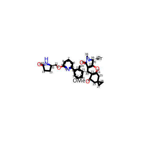 COc1ccc(-c2cccc(OC[C@H]3CCC(=O)N3)n2)c(C)c1[C@H]1C2=C(CC3(CC3)CC2=O)OC2=C1C(=O)N(C)[C@@H]2C(C)C